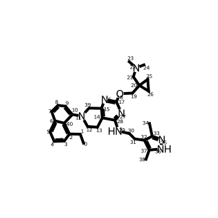 CCc1cccc2cccc(N3CCc4c(nc(OCC5(CN(C)C)CC5)nc4NCCc4c(C)n[nH]c4C)C3)c12